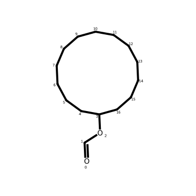 O=COC1CCCCCCCCCCCCC1